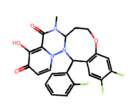 CN1C(=O)c2c(O)c(=O)ccn2N2C(c3ccccc3F)c3cc(F)c(F)cc3OCCC12